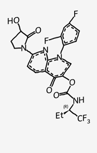 CC[C@@H](NC(=O)Oc1cn(-c2ccc(F)cc2F)c2nc(N3CCC(O)C3=O)ccc2c1=O)C(F)(F)F